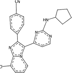 N#Cc1ccc(-c2nc3c(Cl)cccn3c2-c2ccnc(NC3CCCC3)n2)cc1